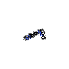 c1ccc(-c2ccc3ccc4ccc(-c5ccc(-c6ccc7nc(-c8ccccn8)ccc7c6)cc5)nc4c3n2)cc1